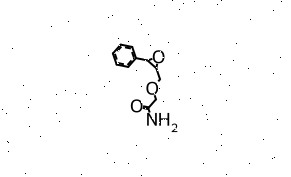 NC(=O)COCC1OC1c1ccccc1